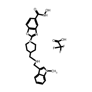 Cn1cc(CNCC2CCN(c3nc4cc(C(=O)NO)ccc4o3)CC2)c2ccccc21.O=C(O)C(F)(F)F